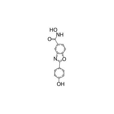 O=C(NO)c1ccc2oc(-c3ccc(O)cc3)nc2c1